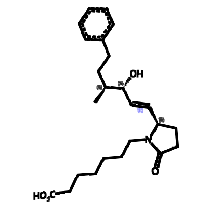 C[C@@H](CCc1ccccc1)[C@H](O)/C=C/[C@H]1CCC(=O)N1CCCCCCC(=O)O